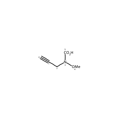 C#CCN(OC)C(=O)O